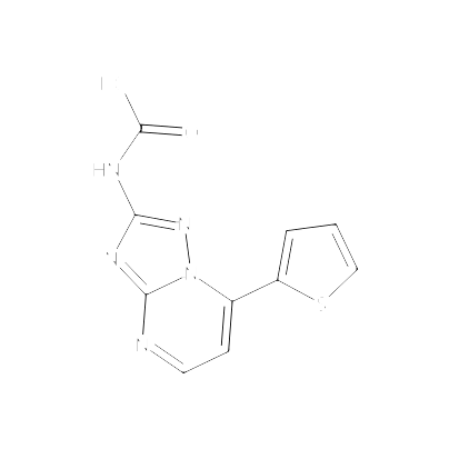 CC(=O)Nc1nc2nccc(-c3cccs3)n2n1